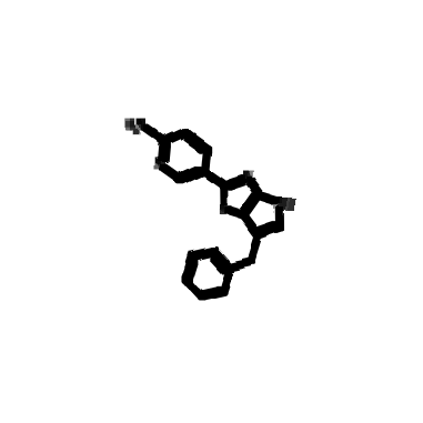 Nc1ccc(-c2nc3[nH]cc(Cc4ccccc4)c3s2)cn1